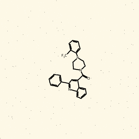 O=C(c1cc(-c2ccccc2)nc2ccccc12)N1CCN(c2ccccc2C(F)(F)F)CC1